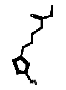 COC(=O)CCCCc1csc(N)n1